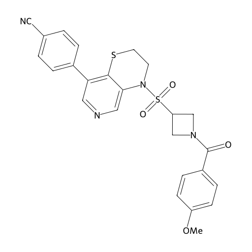 COc1ccc(C(=O)N2CC(S(=O)(=O)N3CCSc4c(-c5ccc(C#N)cc5)cncc43)C2)cc1